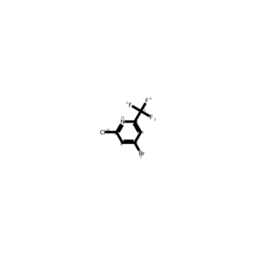 FC(F)(F)c1cc(Br)[c]c(Cl)n1